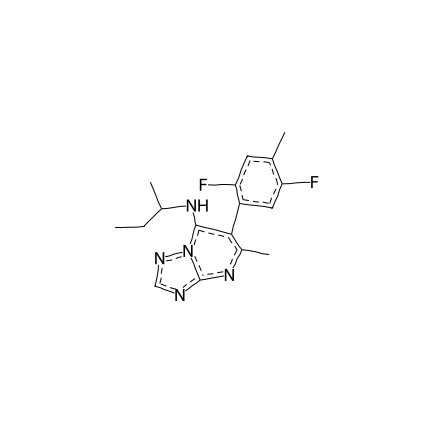 CCC(C)Nc1c(-c2cc(F)c(C)cc2F)c(C)nc2ncnn12